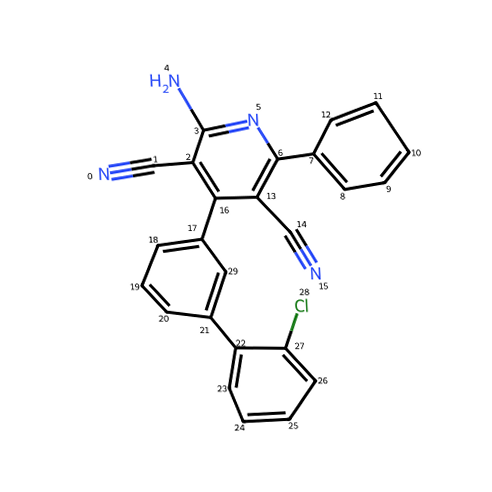 N#Cc1c(N)nc(-c2ccccc2)c(C#N)c1-c1cccc(-c2ccccc2Cl)c1